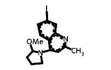 COC1CCCN1c1cc(C)nc2cc(I)ccc12